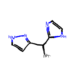 CC[CH]C(c1cc[nH]n1)c1ncc[nH]1